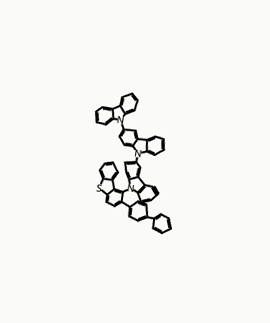 c1ccc2c(c#1)c1cc(-n3c4ccccc4c4cc(-n5c6ccccc6c6ccccc65)ccc43)ccc1n2-c1c(-c2ccc(-c3ccccc3)cc2)ccc2sc3ccccc3c12